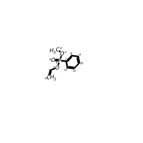 C=COP(=O)(OC)c1ccccc1